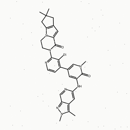 CCc1c(-c2cc(Nc3cc4c(C)n(C)nc4cn3)c(=O)n(C)c2)ccnc1N1CCn2c(cc3c2CC(C)(C)C3)C1=O